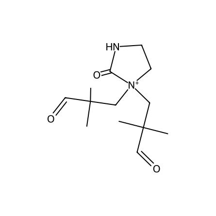 CC(C)(C=O)C[N+]1(CC(C)(C)C=O)CCNC1=O